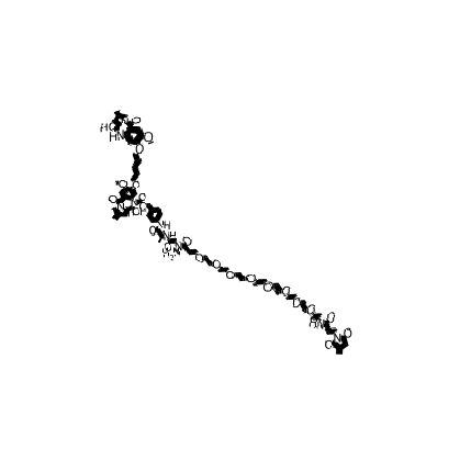 COc1cc2c(cc1OCCCCCOc1cc3c(cc1OC)C(=O)N1C=C(C)C[C@H]1[C@H](O)N3C(=O)OCc1ccc(NC(=O)[C@H](C)NC(=O)CN(N)C(=O)CCOCCOCCOCCOCCOCCOCCOCCOCCNC(=O)CCN3C(=O)CC(C)C3=O)cc1)NCC1(O)CC(C)=CN1C2=O